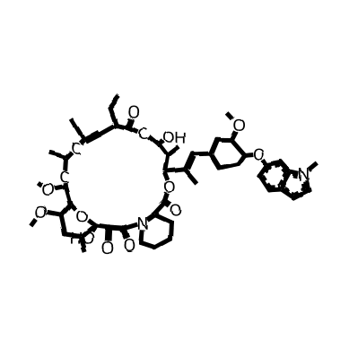 CCC1/C=C(\C)CC(C)CC(OC)C2OC(O)(C(=O)C(=O)N3CCCCC3C(=O)OC(C(C)=CC3CCC(Oc4ccc5ccn(C)c5c4)C(OC)C3)C(C)C(O)CC1=O)C(C)CC2OC